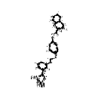 c1cc(CCCc2ccc(OCc3ccc4ccccc4n3)cc2)cc(-c2nnn[nH]2)c1